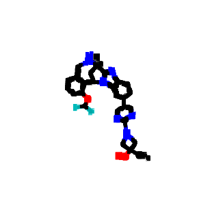 OC1(C(F)(F)F)CN(c2ncc(-c3ccc4nc5n(c4c3)C3=c4c(OC(F)F)cccc4=CN[C@@H]5C3)cn2)C1